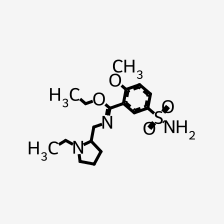 CCO/C(=N\CC1CCCN1CC)c1cc(S(N)(=O)=O)ccc1OC